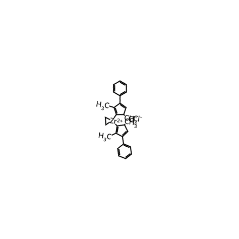 CC1=[C]([Zr+2]2([C]3=C(C)C(c4ccccc4)=CC3C)[CH2][CH2]2)C(C)C=C1c1ccccc1.[Cl-].[Cl-]